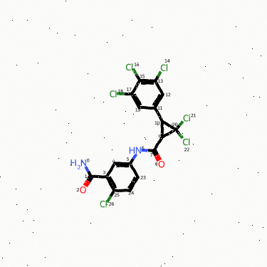 NC(=O)c1cc(NC(=O)C2C(c3cc(Cl)c(Cl)c(Cl)c3)C2(Cl)Cl)ccc1Cl